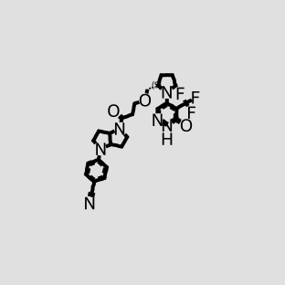 N#Cc1ccc(N2CCC3C2CCN3C(=O)CCOC[C@@H]2CCCN2c2cn[nH]c(=O)c2C(F)(F)F)cc1